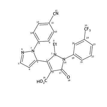 CCn1c(-c2ccnn2-c2ccc(C#N)cc2)c(C(=O)O)c(=O)n1-c1cccc(C(F)(F)F)c1